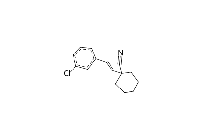 N#CC1(C=Cc2cccc(Cl)c2)CCCCC1